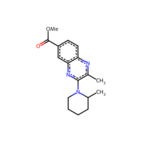 COC(=O)c1ccc2nc(C)c(N3CCCCC3C)nc2c1